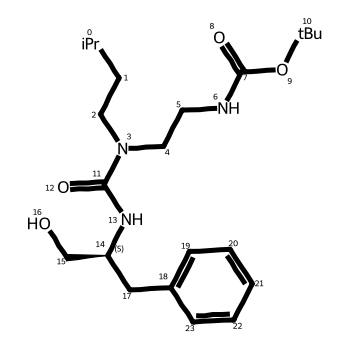 CC(C)CCN(CCNC(=O)OC(C)(C)C)C(=O)N[C@H](CO)Cc1ccccc1